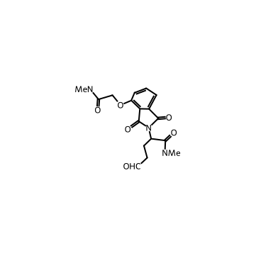 CNC(=O)COc1cccc2c1C(=O)N(C(CCC=O)C(=O)NC)C2=O